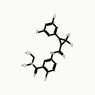 CCN(C)C(=O)c1cc(NC(=O)C2C(c3cc(Cl)cc(Cl)c3)C2(Cl)Cl)ccc1Cl